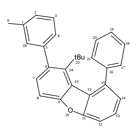 Cc1cccc(-c2ccc3oc4cccc(-c5ccccc5)c4c3c2C(C)(C)C)c1